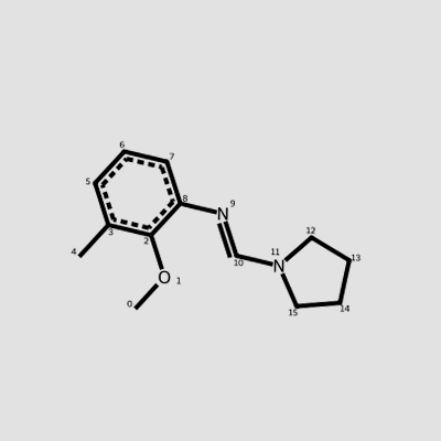 COc1c(C)cccc1N=CN1CCCC1